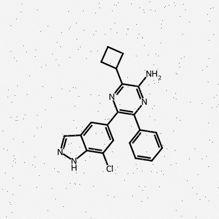 Nc1nc(-c2ccccc2)c(-c2cc(Cl)c3[nH]ncc3c2)nc1C1CCC1